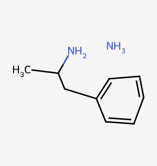 CC(N)Cc1ccccc1.N